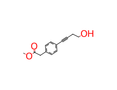 COC(=O)Cc1ccc(C#CCCO)cc1